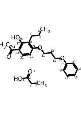 CCC(=O)O.CCCc1c(OCCCOc2ccccc2)ccc(C(C)=O)c1O